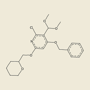 COC(OC)c1c(OCc2ccccc2)cc(OCC2CCCCO2)nc1Cl